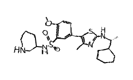 COc1ccc(-c2sc(N[C@H](C)C3CCCCC3)nc2C)cc1S(=O)(=O)NC1CCCNC1